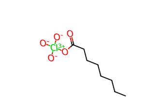 CCCCCCCC(=O)O[Cl+3]([O-])([O-])[O-]